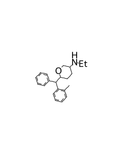 CCNC1CCC(C(c2ccccc2)c2ccccc2C)OC1